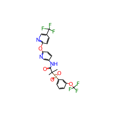 CC(C)(C(=O)Nc1ccc(Oc2ccc(C(F)(F)F)cn2)nc1)S(=O)(=O)c1cccc(OC(F)(F)F)c1